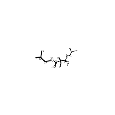 CC(C)COC(=O)C(C)(C)C(=O)OCC(C)C